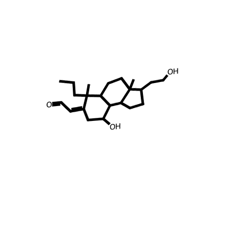 CCCC1(C)/C(=C\C=O)CC(O)C2C1CCC1(C)C(CCO)CCC21